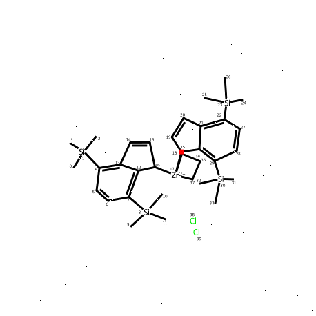 C[Si](C)(C)c1ccc([Si](C)(C)C)c2c1C=C[CH]2[Zr+2]1([CH]2C=Cc3c([Si](C)(C)C)ccc([Si](C)(C)C)c32)[CH2]C[CH2]1.[Cl-].[Cl-]